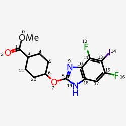 COC(=O)C1CCC(Oc2nc3c(F)c(I)c(F)cc3[nH]2)CC1